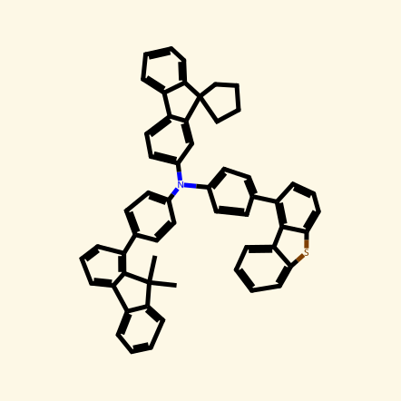 CC1(C)c2ccccc2-c2cccc(-c3ccc(N(c4ccc(-c5cccc6sc7ccccc7c56)cc4)c4ccc5c(c4)C4(CCCC4)c4ccccc4-5)cc3)c21